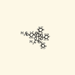 COc1ccc(O[C@@H]2O[C@@H](C)[C@H](OCc3ccccc3)[C@@H](OC(=O)c3ccccc3)[C@H]2OC(=O)c2ccccc2)cc1